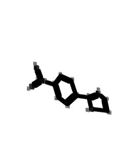 O=[SH](=O)c1ccc(-c2ncco2)cc1